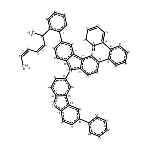 C/C=C\C=C/C(C)c1ccccc1-c1ccc2c(c1)c1cc(-c3ccccc3C3=CC=CCN3)ccc1n2-c1ccc2oc3ccc(-c4ccccc4)cc3c2c1